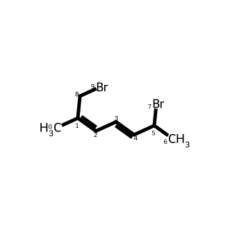 CC(=CC=CC(C)Br)CBr